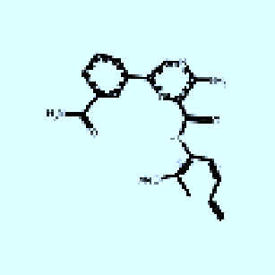 C=C/C=C\C(NC(=O)c1nc(-c2cccc(C(N)=O)c2)cnc1N)=C(/C)OC